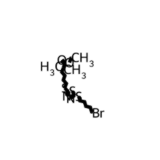 CCOC(=O)C(C)(C)CCCCSc1nnc(SCCCCCBr)s1